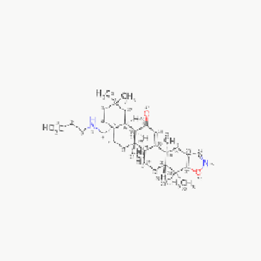 CC1(C)CC[C@]2(CNCCC(=O)O)CC[C@]3(C)[C@H](C(=O)C=C4[C@@]5(C)Cc6cnoc6C(C)(C)[C@@H]5CC[C@]43C)[C@@H]2C1